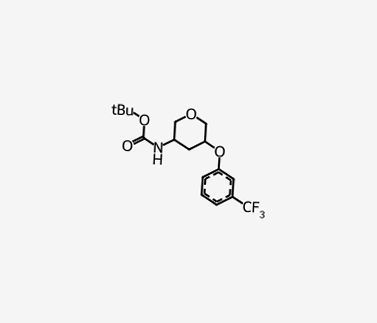 CC(C)(C)OC(=O)NC1COCC(Oc2cccc(C(F)(F)F)c2)C1